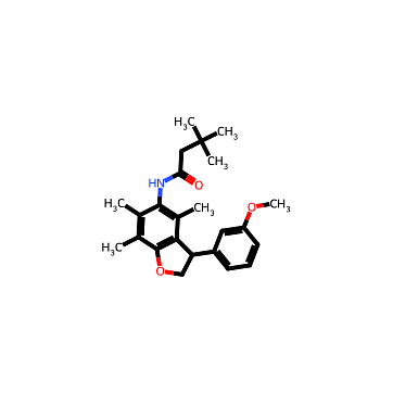 COc1cccc(C2COc3c(C)c(C)c(NC(=O)CC(C)(C)C)c(C)c32)c1